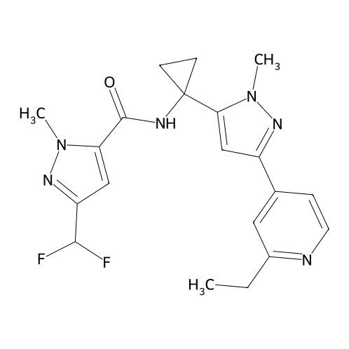 CCc1cc(-c2cc(C3(NC(=O)c4cc(C(F)F)nn4C)CC3)n(C)n2)ccn1